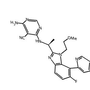 COCCn1c([C@H](C)Nc2ncnc(N)c2C#N)nc2ccc(F)c(-c3ccccn3)c21